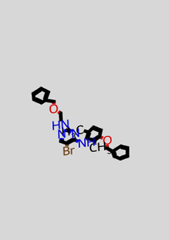 Cc1ccc(OCc2ccccc2)c(C)c1Nc1nc(NCCOCc2ccccc2)ncc1Br